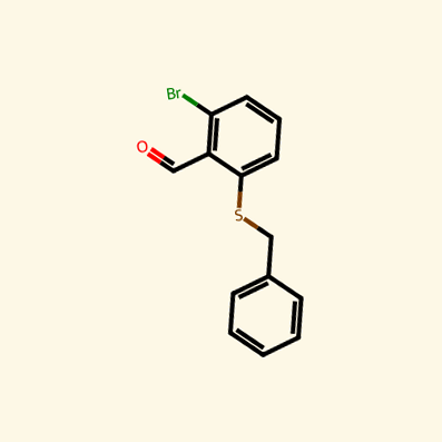 O=Cc1c(Br)cccc1SCc1ccccc1